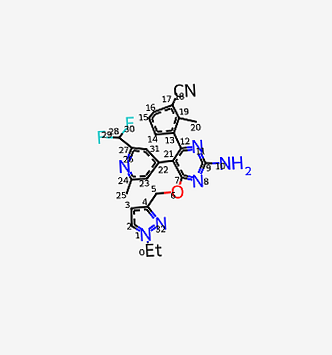 CCn1ccc(COc2nc(N)nc(-c3cccc(C#N)c3C)c2-c2cc(C)nc(C(F)F)c2)n1